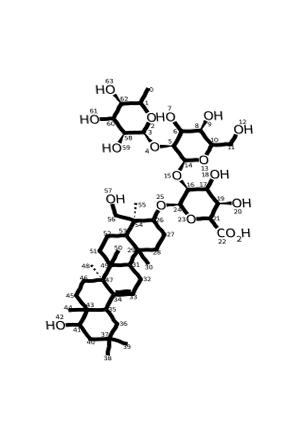 CC1O[C@@H](O[C@H]2C(O)[C@@H](O)C(CO)O[C@H]2O[C@H]2C(O)[C@@H](O)C(C(=O)O)O[C@H]2OC2CCC3(C)C4CC=C5C6CC(C)(C)CC(O)C6(C)CC[C@@]5(C)C4(C)CCC3[C@@]2(C)CO)[C@@H](O)C(O)[C@H]1O